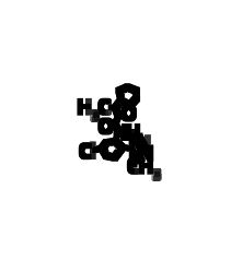 Cc1c(C(=O)Nc2cc(Cl)ccc2-c2nnnn2C)oc2ccccc12